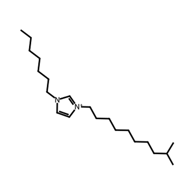 CCCCCCCn1cc[n+](CCCCCCCCC(C)C)c1